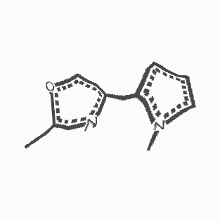 Cc1nc(-c2cccn2C)co1